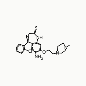 CN1CCN(CCOc2cc3c(cc2N)C(c2ccccc2Cl)=NCC(=S)N3)CC1